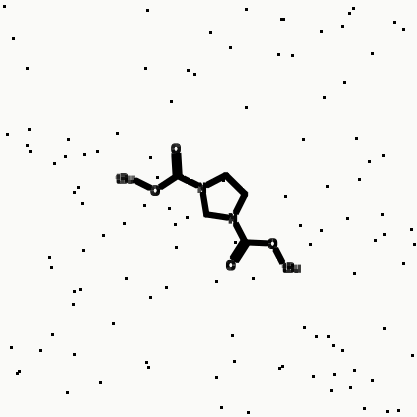 CC(C)(C)OC(=O)N1CCN(C(=O)OC(C)(C)C)C1